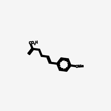 C=C(CCC=Cc1ccc(OC)cc1)C(=O)O